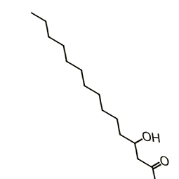 [CH2]CC(=O)CC(O)CCCCCCCCCCC